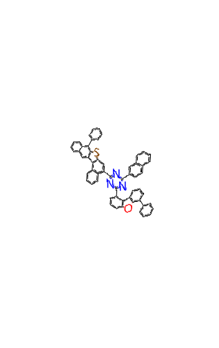 c1ccc(-c2cccc3c2oc2cccc(-c4nc(-c5ccc6ccccc6c5)nc(-c5cc6sc7c(-c8ccccc8)c8ccccc8cc7c6c6ccccc56)n4)c23)cc1